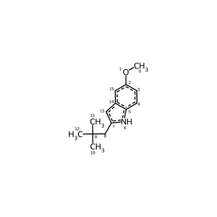 COc1ccc2[nH]c(CC(C)(C)C)cc2c1